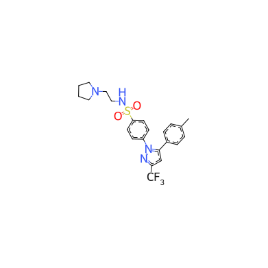 Cc1ccc(-c2cc(C(F)(F)F)nn2-c2ccc(S(=O)(=O)NCCN3CCCC3)cc2)cc1